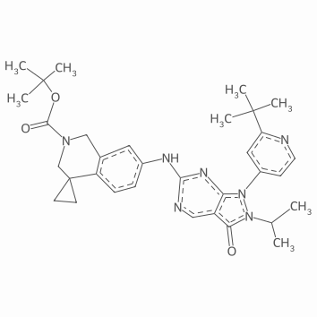 CC(C)n1c(=O)c2cnc(Nc3ccc4c(c3)CN(C(=O)OC(C)(C)C)CC43CC3)nc2n1-c1ccnc(C(C)(C)C)c1